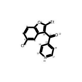 CCc1oc2ccc(Cl)cc2c1C(=O)c1ccncc1